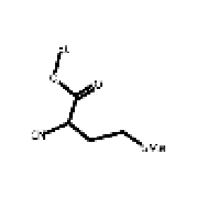 [C-]#[N+]C(CCSC)C(=O)OCC